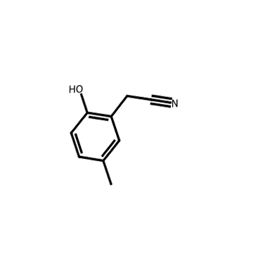 Cc1ccc(O)c(CC#N)c1